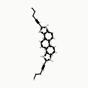 CCCC#Cc1nc2c(ccc3c4ccc5sc(C#CCCC)nc5c4ccc32)s1